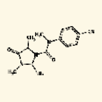 CC1C(=O)N(C)C(C(C)(C)C)N1C(=O)N(C)c1ccc(C#N)cc1